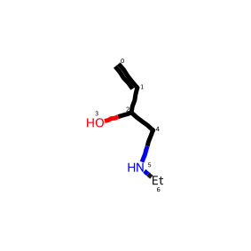 C=CC(O)CNCC